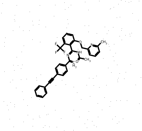 C=C(/N=C(\NC(C)=O)c1c(OCc2cccc(C)n2)cccc1C(F)(F)F)c1ccc(C#Cc2ccccc2)cc1